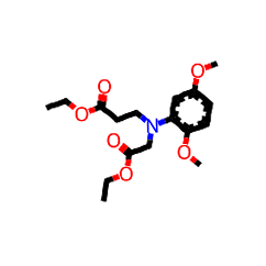 CCOC(=O)CCN(CC(=O)OCC)c1cc(OC)ccc1OC